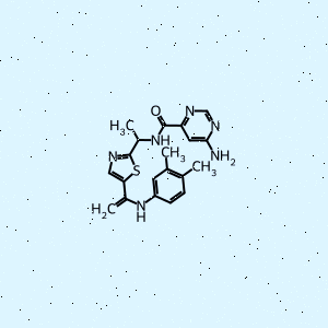 C=C(Nc1ccc(C)c(C)c1)c1cnc(C(C)NC(=O)c2cc(N)ncn2)s1